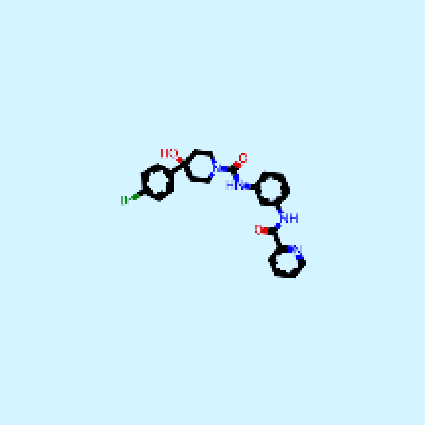 O=C(Nc1cccc(NC(=O)N2CCC(O)(c3ccc(Br)cc3)CC2)c1)c1ccccn1